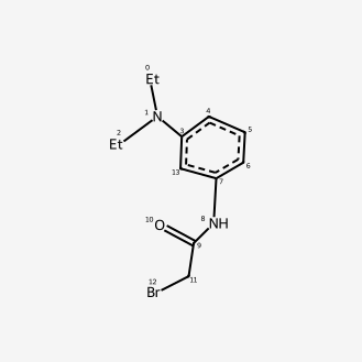 CCN(CC)c1cccc(NC(=O)CBr)c1